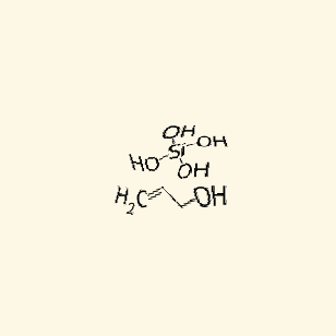 C=CCO.O[Si](O)(O)O